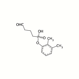 Cc1cccc(OP(=O)(O)CCCC=O)c1C